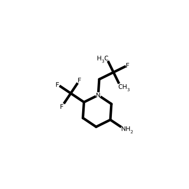 CC(C)(F)CN1CC(N)CCC1C(F)(F)F